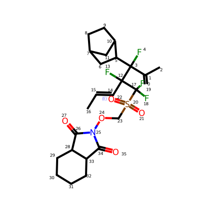 C=C(C)C(F)(C1CC2CCC1C2)C(F)(/C=C/C)C(F)(F)S(=O)(=O)CON1C(=O)C2CCCCC2C1=O